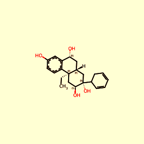 CC[C@@]12C[C@H](O)[C@](O)(C3C=CC=CC3)C[C@H]1C[C@@H](O)c1cc(O)ccc12